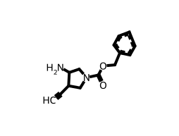 C#CC1CN(C(=O)OCc2ccccc2)CC1N